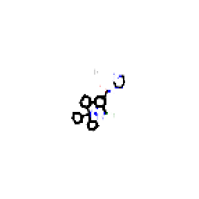 O=C(NC1CCCN(C(=O)O)C1)c1ccc2c(c1)c(Br)nn2C(c1ccccc1)(c1ccccc1)c1ccccc1